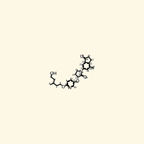 CC(CCO)CCOc1ccc(O[C@@H]2CCN(c3cc(F)c4c(c3)C(=O)CC4)C2=O)cn1